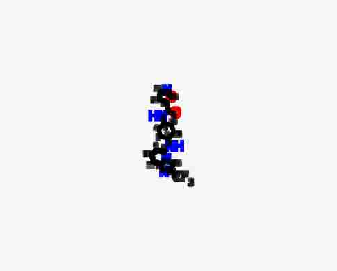 O=C(N[C@H]1CC[C@@H](Nc2cccc3nc(C(F)(F)F)cn23)CC1)c1ccno1